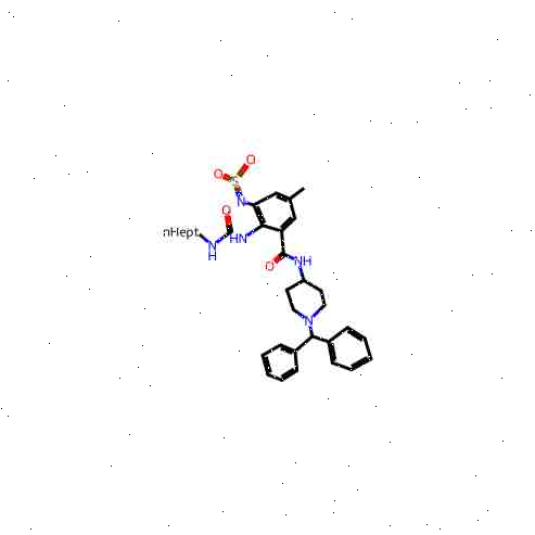 CCCCCCCNC(=O)Nc1c(N=S(=O)=O)cc(C)cc1C(=O)NC1CCN(C(c2ccccc2)c2ccccc2)CC1